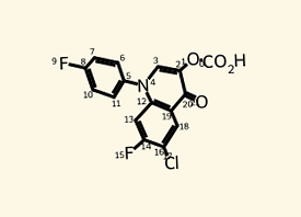 O=C(O)Oc1cn(-c2ccc(F)cc2)c2cc(F)c(Cl)cc2c1=O